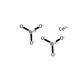 [Cd+2].[O-][Br+2]([O-])[O-].[O-][Br+2]([O-])[O-]